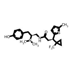 Cc1ccc([C@H](CC(=O)NC[C@H](Cc2ccc(O)cc2)N(C)C)C2(C(F)(F)F)CC2)s1